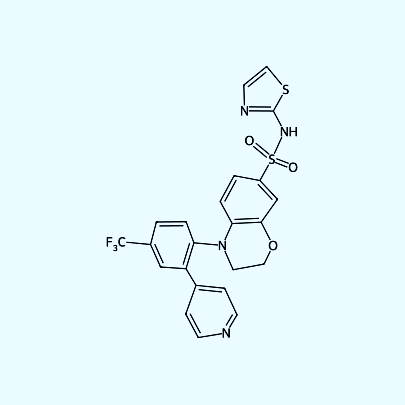 O=S(=O)(Nc1nccs1)c1ccc2c(c1)OCCN2c1ccc(C(F)(F)F)cc1-c1ccncc1